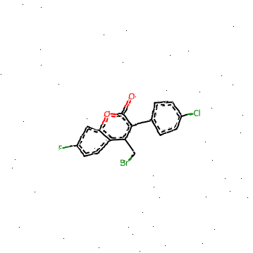 O=c1oc2cc(F)ccc2c(CBr)c1-c1ccc(Cl)cc1